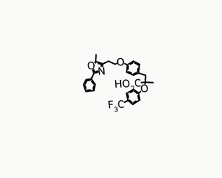 Cc1oc(-c2ccccc2)nc1CCOc1ccc(CC(C)(Oc2ccc(C(F)(F)F)cc2)C(=O)O)cc1